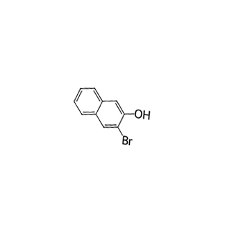 Oc1cc2ccccc2cc1Br